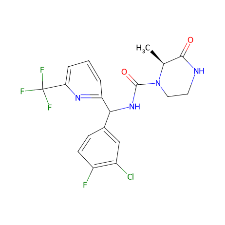 C[C@H]1C(=O)NCCN1C(=O)NC(c1ccc(F)c(Cl)c1)c1cccc(C(F)(F)F)n1